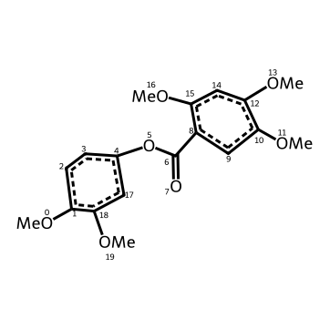 COc1ccc(OC(=O)c2cc(OC)c(OC)cc2OC)cc1OC